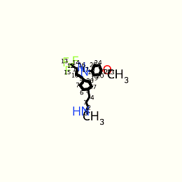 CNCCCc1ccc(-c2cc(C(F)(F)F)nn2-c2ccc(OC)cc2)cc1